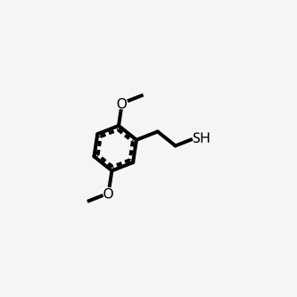 COc1ccc(OC)c(CCS)c1